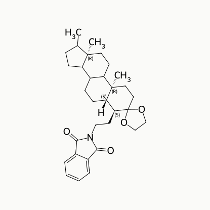 CC1CCC2C3CC[C@H]4[C@H](CCN5C(=O)c6ccccc6C5=O)C5(CC[C@]4(C)C3CC[C@]12C)OCCO5